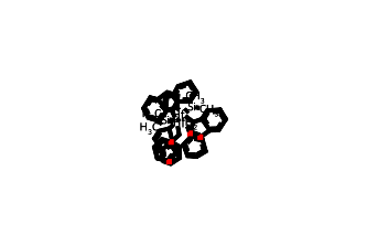 C[Si](C)=[Hf]([CH]1C=Cc2ccccc21)([CH]1C=Cc2ccccc21)[HfH2]([CH2]c1ccccc1)([CH2]c1ccccc1)([CH]1C=Cc2ccccc21)([CH]1C=Cc2ccccc21)=[Si](C)C